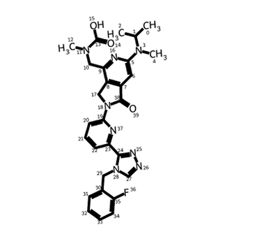 CC(C)N(C)c1cc2c(c(CN(C)C(=O)O)n1)CN(c1cccc(-c3nncn3Cc3ccccc3F)n1)C2=O